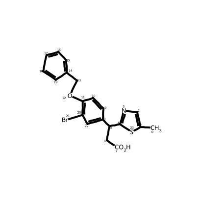 Cc1cnc(C(CC(=O)O)c2ccc(OCc3ccccc3)c(Br)c2)s1